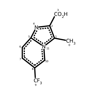 Cc1c(C(=O)O)nc2ccc(C(F)(F)F)cn12